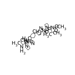 COC(=O)N[C@H](C(=O)N1CCC[C@H]1c1nc2cc(C3(C)CCC(C)(c4cnc([C@@H]5CCCN5C(=O)[C@@H](N)C(C)C)[nH]4)CC3)ccc2[nH]1)C(C)C